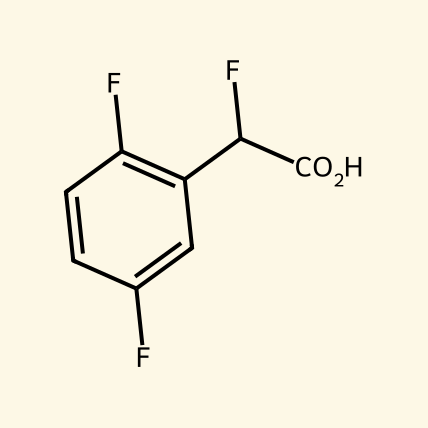 O=C(O)C(F)c1cc(F)ccc1F